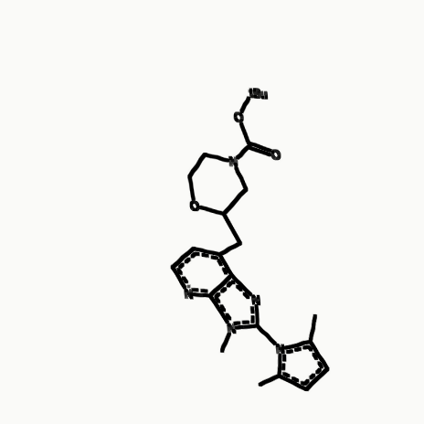 Cc1ccc(C)n1-c1nc2c(CC3CN(C(=O)OC(C)(C)C)CCO3)ccnc2n1C